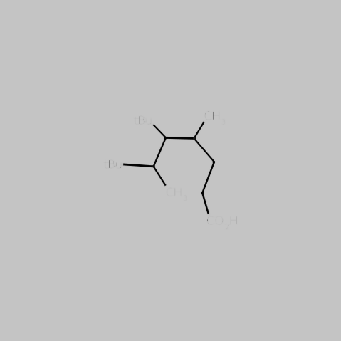 CC(CCC(=O)O)C(C(C)C(C)(C)C)C(C)(C)C